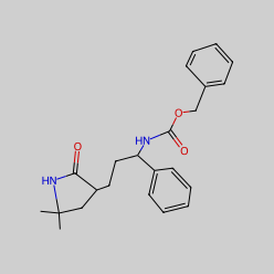 CC1(C)CC(CCC(NC(=O)OCc2ccccc2)c2ccccc2)C(=O)N1